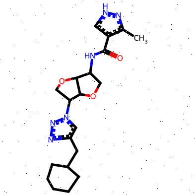 Cc1n[nH]cc1C(=O)NC1COC2C1OCC2n1cc(CC2CCCCC2)nn1